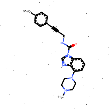 COc1ccc(C#CCNC(=O)n2cnc3c(N4CCN(C)CC4)cccc32)cc1